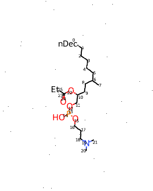 CCCCCCCCCCCCCCCC(C)CCC(COP(O)OCCCN(C)C)OC(=O)CC